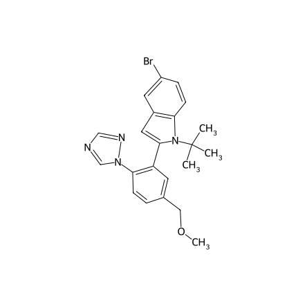 COCc1ccc(-n2cncn2)c(-c2cc3cc(Br)ccc3n2C(C)(C)C)c1